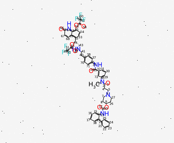 CN(C(=O)CCN1CCC(OC(=O)Nc2ccccc2-c2ccccc2)CC1)c1cccc(C(=O)Nc2ccc(CCNC[C@H](OC(=O)C(F)(F)F)c3ccc(OC(=O)C(F)(F)F)c4[nH]c(=O)ccc34)cc2)c1